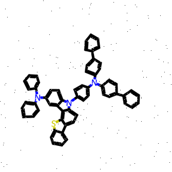 c1ccc(-c2ccc(N(c3ccc(-c4ccccc4)cc3)c3ccc(-n4c5ccc(N(c6ccccc6)c6ccccc6)cc5c5c6sc7ccccc7c6ccc54)cc3)cc2)cc1